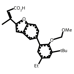 CCc1cc(-c2ccc3oc(/C(C)=C\C(=O)O)cc3c2)c(OCOC)c(C(C)(C)C)c1